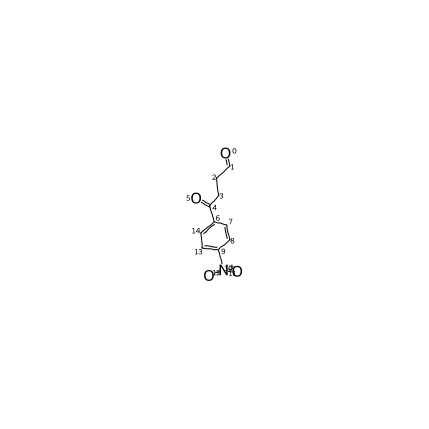 O=CCCC(=O)c1ccc([N+](=O)[O-])cc1